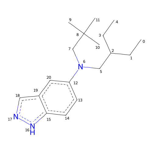 CCC(CC)CN(CC(C)(C)C)c1ccc2[nH]ncc2c1